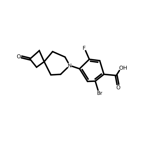 O=C1CC2(CCN(c3cc(Br)c(C(=O)O)cc3F)CC2)C1